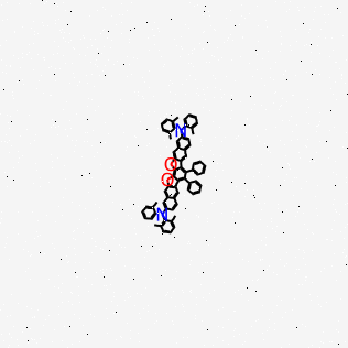 Cc1ccccc1N(c1ccc2cc3c(cc2c1)oc1c2oc4cc5cc(N(c6ccccc6C)c6c(C)cccc6C)ccc5cc4c2c(-c2ccccc2)c(-c2ccccc2)c31)c1c(C)cccc1C